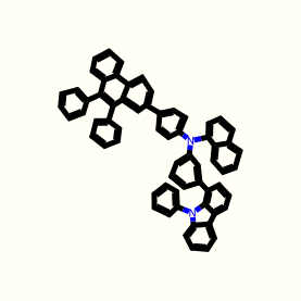 c1ccc(-c2c(-c3ccccc3)c3cc(-c4ccc(N(c5cccc(-c6cccc7c8ccccc8n(-c8ccccc8)c67)c5)c5cccc6ccccc56)cc4)ccc3c3ccccc23)cc1